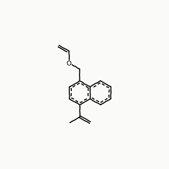 C=COCc1ccc(C(=C)C)c2ccccc12